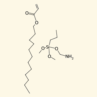 C=CC(=O)OCCCCCCCCCCCC.CCC[Si](OC)(OC)OCN